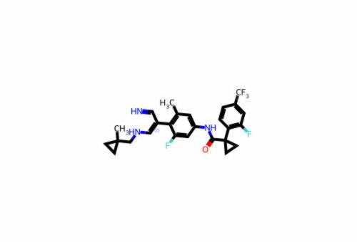 Cc1cc(NC(=O)C2(c3ccc(C(F)(F)F)cc3F)CC2)cc(F)c1/C(C=N)=C/NCC1(C)CC1